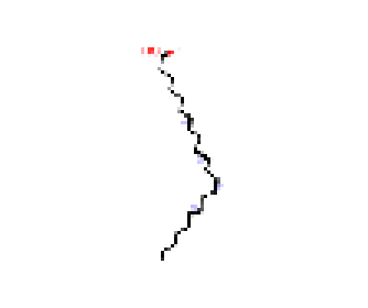 CCCCC/C=C/C/C=C\C/C=C/C/C=C/CCCCCC(=O)O